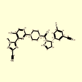 Cn1nc(C#N)nc1-c1nc(N2CCN(C(=O)N3N=CC[C@H]3c3cc(F)cc(C#N)c3)CC2)ncc1F